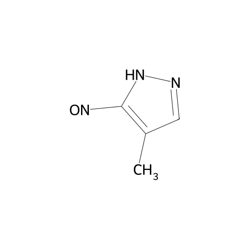 Cc1cn[nH]c1N=O